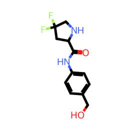 O=C(Nc1ccc(CO)cc1)C1CC(F)(F)CN1